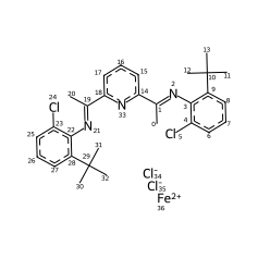 CC(=Nc1c(Cl)cccc1C(C)(C)C)c1cccc(C(C)=Nc2c(Cl)cccc2C(C)(C)C)n1.[Cl-].[Cl-].[Fe+2]